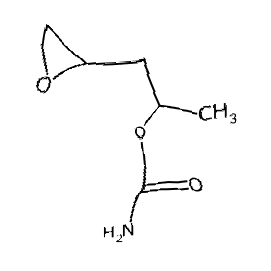 CC(CC1CO1)OC(N)=O